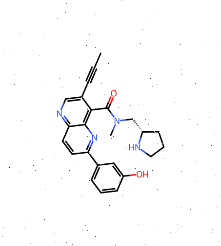 CC#Cc1cnc2ccc(-c3cccc(O)c3)nc2c1C(=O)N(C)C[C@@H]1CCCN1